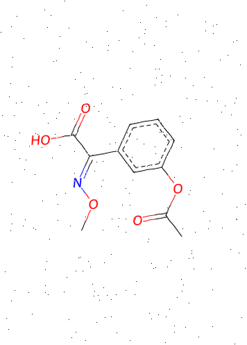 CO/N=C(/C(=O)O)c1cccc(OC(C)=O)c1